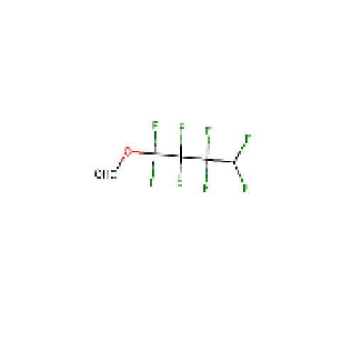 O=COC(F)(F)C(F)(F)C(F)(F)C(F)F